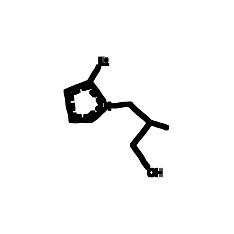 CCc1cccn1CC(C)CO